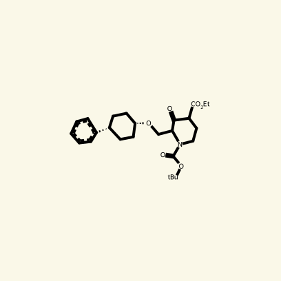 CCOC(=O)C1CCN(C(=O)OC(C)(C)C)C(CO[C@H]2CC[C@@H](c3ccccc3)CC2)C1=O